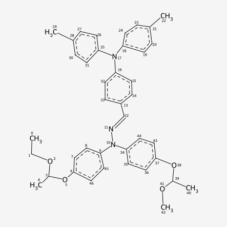 CCOC(C)Oc1ccc(N(N=Cc2ccc(N(c3ccc(C)cc3)c3ccc(C)cc3)cc2)c2ccc(OC(C)OC)cc2)cc1